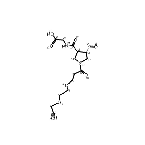 C#CCOCCOCCC(=O)N1C[C@@H](C=O)[C@H](C(=O)NCC(=O)O)C1